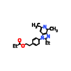 CCC(=O)OCCc1ccc(-n2c(CC)nc3c(C)nc(C)cc32)cc1